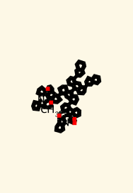 CC12CC=CC3=C1N(c1ccccc12)c1ccccc1C31c2ccccc2-c2c(-c3cccc4c(-c5c6cccc(-c7ccc8ccccc8c7)c6cc6c(-c7ccc8ccccc8c7)cccc56)c5cccc(-c6cccc7c6-c6ccccc6C76c7ccccc7-n7c8ccccc8c8cccc6c87)c5cc34)cccc21